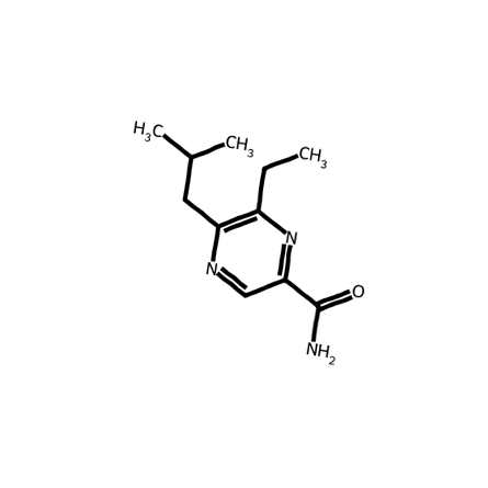 CCc1nc(C(N)=O)cnc1CC(C)C